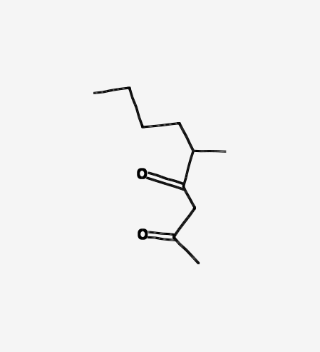 CCCCC(C)C(=O)CC(C)=O